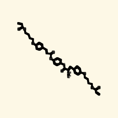 [C-]#[N+]/C(=C\c1ccc(OCCCCOC(=O)C=C)cc1)C(=O)Sc1ccc(OC(=O)/C=C/c2ccc(OCCCCOC(=O)C=C)cc2)cc1